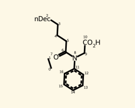 CC.CCCCCCCCCCCCCC(=O)N(CC(=O)O)c1ccccc1